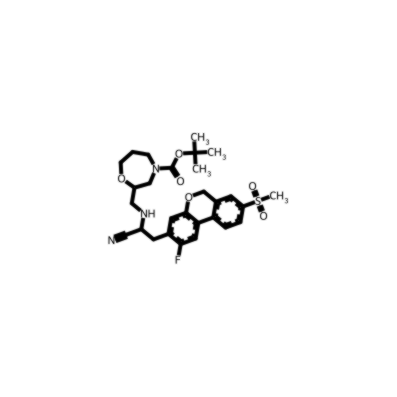 CC(C)(C)OC(=O)N1CCCOC(CNC(C#N)Cc2cc3c(cc2F)-c2ccc(S(C)(=O)=O)cc2CO3)C1